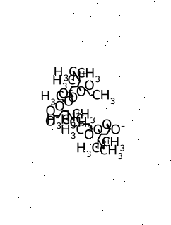 CC(=O)OC(CC(=O)[O-])C[N+](C)(C)C.CC(C)CC(=O)OC(CC(=O)[O-])C[N+](C)(C)C.CCC(=O)OC(CC(=O)[O-])C[N+](C)(C)C